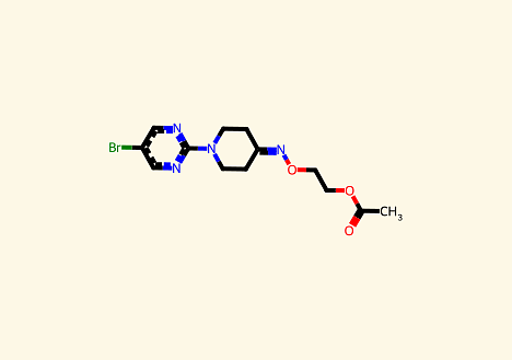 CC(=O)OCCON=C1CCN(c2ncc(Br)cn2)CC1